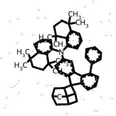 CC1(C)CCC(C)(C)c2c(N(c3ccc4c(c3)-c3c(-c5ccccc5)cccc3C43C4CC5CC6CC3C64C5)c3cccc4c3C(C)(C)CCC4(C)C)cccc21